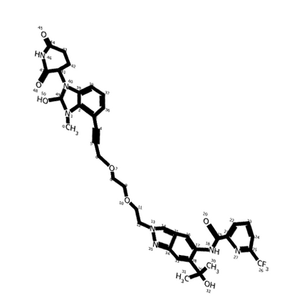 CN1c2c(C#CCOCCOCCn3cc4cc(NC(=O)c5cccc(C(F)(F)F)n5)c(C(C)(C)O)cc4n3)cccc2N(C2CCC(=O)NC2=O)C1O